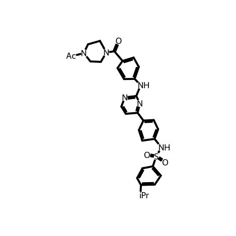 CC(=O)N1CCN(C(=O)c2ccc(Nc3nccc(-c4ccc(NS(=O)(=O)c5ccc(C(C)C)cc5)cc4)n3)cc2)CC1